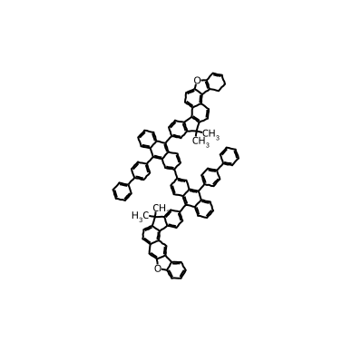 CC1(C)c2cc(-c3c4ccccc4c(-c4ccc(-c5ccccc5)cc4)c4cc(-c5ccc6c(-c7ccc8c(c7)C(C)(C)c7ccc9c(ccc%10oc%11c(c%109)CCC=C%11)c7-8)c7ccccc7c(-c7ccc(-c8ccccc8)cc7)c6c5)ccc34)ccc2-c2c1ccc1cc3oc4ccccc4c3cc21